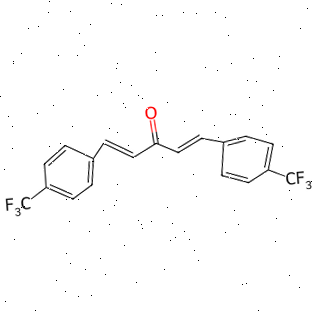 O=C(/C=C/c1ccc(C(F)(F)F)cc1)/C=C/c1ccc(C(F)(F)F)cc1